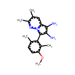 COc1ccc(C)c(-c2c(N)c(N)c3cc(C)c(C)nn23)c1C